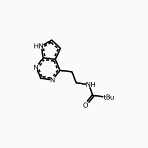 CC(C)(C)C(=O)NCCc1ncnc2[nH]ccc12